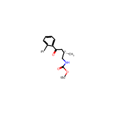 CC(C)c1ccccc1C(=O)C[C@H](C)CNC(=O)OC(C)(C)C